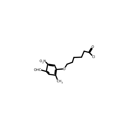 Cc1cc(C=O)c([N+](=O)[O-])cc1OCCCCCC(=O)Cl